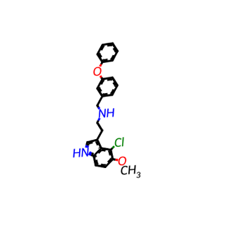 COc1ccc2[nH]cc(CCNCc3cccc(Oc4ccccc4)c3)c2c1Cl